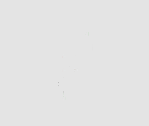 CC(C)(C(=O)C(Br)Oc1ccc(Cl)cc1)c1cccc(Cl)c1